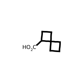 O=C(O)C1CCC12CCC2